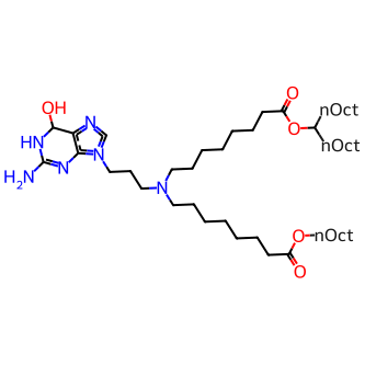 CCCCCCCCOC(=O)CCCCCCCN(CCCCCCCC(=O)OC(CCCCCCCC)CCCCCCCC)CCCn1cnc2c1N=C(N)NC2O